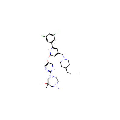 CN1CCN(c2ncc(Oc3cc(CN4CCC(CC(=O)O)CC4)cc(-c4cc(Cl)cc(Cl)c4)n3)cn2)CC(C)(O)C1